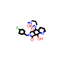 CN1CCCN(c2c3c(c(O)c4ncccc24)C(=O)N(Cc2ccc(F)cc2)C3)S1(=O)=O